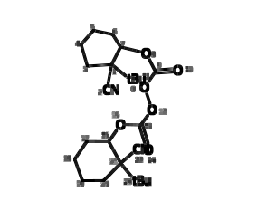 CC(C)(C)C1(C#N)CCCCC1OC(=O)OOC(=O)OC1CCCCC1(C#N)C(C)(C)C